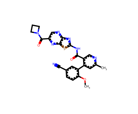 COc1ccc(C#N)cc1-c1cc(C)ncc1C(=O)Nc1nc2ncc(C(=O)N3CCC3)nc2s1